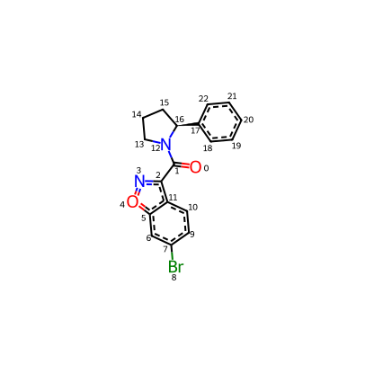 O=C(c1noc2cc(Br)ccc12)N1CCC[C@H]1c1ccccc1